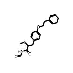 CSC(Cc1ccc(OCCC2=CCCC=C2)cc1)C(=O)NC=O